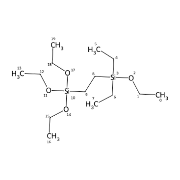 CCO[Si](CC)(CC)CC[Si](OCC)(OCC)OCC